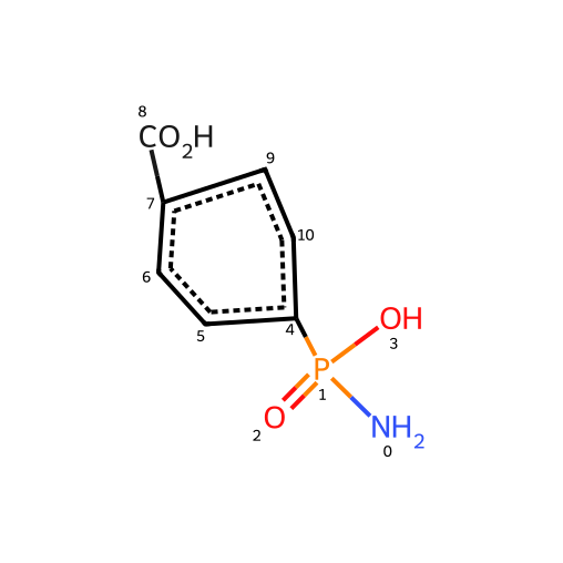 NP(=O)(O)c1ccc(C(=O)O)cc1